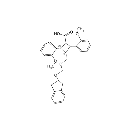 COc1ccccc1C1C(C(=O)O)[C@@H](c2ccccc2OC)[C@H]1COCOC1Cc2ccccc2C1